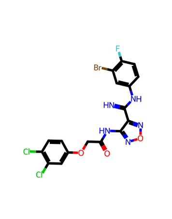 N=C(Nc1ccc(F)c(Br)c1)c1nonc1NC(=O)COc1ccc(Cl)c(Cl)c1